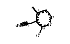 Cc1ccnc(F)c1C#N